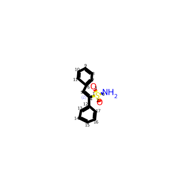 NS(=O)(=O)/C(=C\c1ccccc1)c1ccccc1